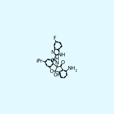 CC(C)c1ccc2c(c1)OC1(O)c3cccc(N)c3C(=O)C21NC(=O)c1nc2cc(F)ccc2[nH]1